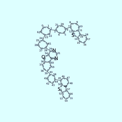 c1cc(-c2ccc(-c3cccc4c3sc3ccccc34)cc2)cc(-c2cccc(-c3ncnc4c3oc3ccc(-c5cccc(-c6cccc7c6sc6ccccc67)c5)cc34)c2)c1